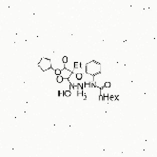 CCCCCCC(=O)Nc1ccccc1O[C@](CC)(C(=O)OC1CCCC1)C(=O)N(N)O